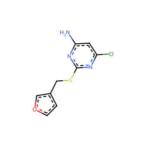 Nc1cc(Cl)nc(SCc2ccoc2)n1